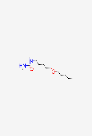 CCCCCOCCCCCN(C)C(=O)NC